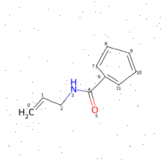 C=CCNC(=O)c1[c]cccc1